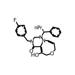 CCC[C@@H](c1ccccc1)N1CN(Cc2ccc(F)cc2)C(=O)/C2=C(\O)COC/C=C\N21